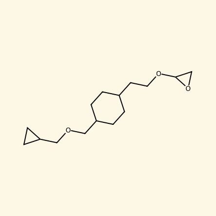 C(CC1CCC(COCC2CC2)CC1)OC1CO1